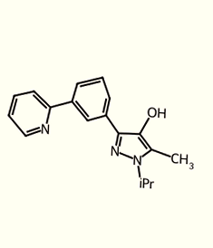 Cc1c(O)c(-c2cccc(-c3ccccn3)c2)nn1C(C)C